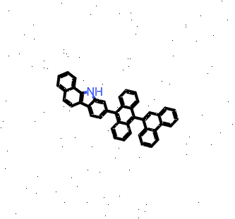 c1ccc2c(c1)cc(-c1c3ccccc3c(-c3ccc4c(c3)[nH]c3c5ccccc5ccc43)c3ccccc13)c1ccccc12